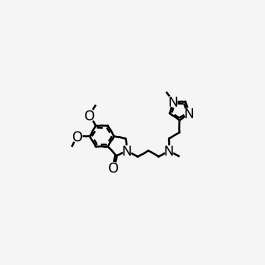 COc1cc2c(cc1OC)C(=O)N(CCCN(C)CCc1cn(C)cn1)C2